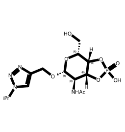 CC(=O)N[C@H]1[C@H](OCc2cn(C(C)C)nn2)O[C@H](CO)[C@@H]2OP(=O)(O)O[C@H]12